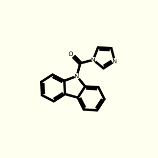 O=C(n1ccnc1)n1c2ccccc2c2ccccc21